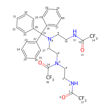 O=C(NCCN(CCN(CCNC(=O)C(F)(F)F)C(c1ccccc1)(c1ccccc1)c1ccccc1)C(=O)C(F)(F)F)C(F)(F)F